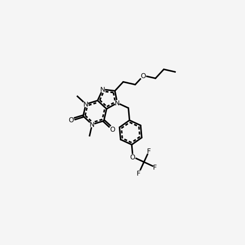 CCCOCCc1nc2c(c(=O)n(C)c(=O)n2C)n1Cc1ccc(OC(F)(F)F)cc1